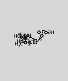 CCN(CCCCCCCC(=O)NC(C(=O)N1C[C@H](O)C[C@H]1C(=O)N[C@@H](C)c1ccc(-c2scnc2C)cc1)C(C)(C)C)CCOc1ccc([C@@H]2c3ccc(O)cc3CC[C@@H]2c2ccccc2)cc1